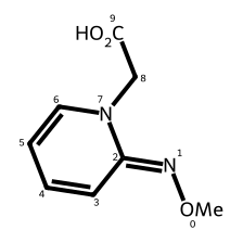 CON=c1ccccn1CC(=O)O